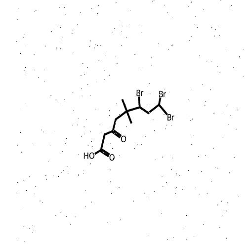 CC(C)(CC(=O)CC(=O)O)C(Br)CC(Br)Br